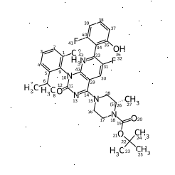 Cc1cccc(C(C)C)c1-n1c(=O)nc(N2CCN(C(=O)OC(C)(C)C)[C@@H](C)C2)c2cc(F)c(-c3c(O)cccc3F)nc21